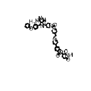 Nc1ncnc2c1c(-c1ccc(Oc3ccccc3)cc1)nn2C1CCN(C(=O)N2CCC(CCN3CCC(c4ccc5c(c4)CN(C4CCC(=O)NC4=O)C5=O)CC3)CC2)CC1